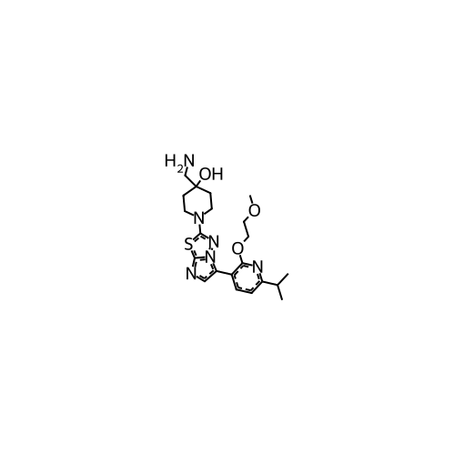 COCCOc1nc(C(C)C)ccc1-c1cnc2sc(N3CCC(O)(CN)CC3)nn12